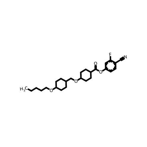 CCCCCOC1CCC(COC2CCC(C(=O)Oc3ccc(C#N)c(F)c3)CC2)CC1